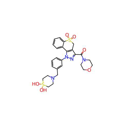 O=C(c1nn(-c2cccc(CN3CCS(O)(O)CC3)c2)c2c1CS(=O)(=O)c1ccccc1-2)N1CCOCC1